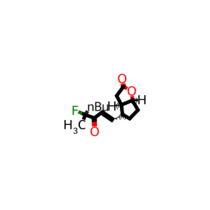 CCCCC(C)(F)C(=O)C=C[C@H]1CC[C@H]2OC(=O)C[C@H]12